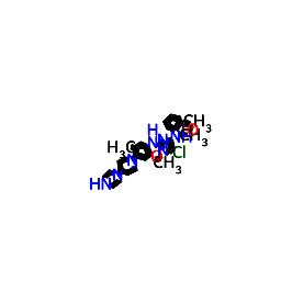 COc1cc(N2CCC(N3CCNCC3)CC2)c(C)cc1Nc1ncc(Cl)c(Nc2ccccc2P(C)(C)=O)n1